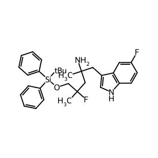 CC(N)(Cc1c[nH]c2ccc(F)cc12)CC(C)(F)CO[Si](c1ccccc1)(c1ccccc1)C(C)(C)C